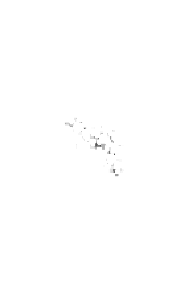 Cc1nnc([C@H]2CCCN2C(=O)Nc2ccc(C(F)(F)F)cc2Cl)n1Cc1ccc(Cl)cc1